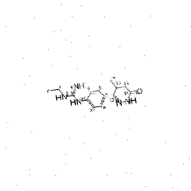 CCNC(=N)Nc1ccc(C2=NNC(=O)CC2C)cc1